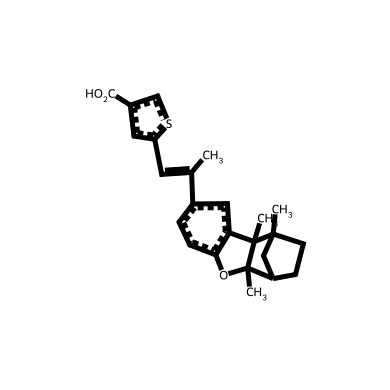 CC(=Cc1cc(C(=O)O)cs1)c1ccc2c(c1)C1(C)C3(C)CCC(C3)C1(C)O2